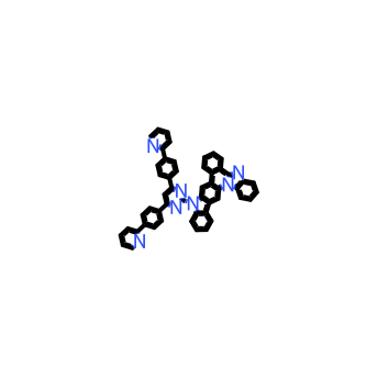 c1ccc(-c2ccc(-c3cc(-c4ccc(-c5ccccn5)cc4)nc(-n4c5ccccc5c5cc6c(cc54)c4ccccc4c4nc5ccccc5n64)n3)cc2)nc1